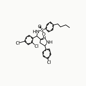 CCCCc1ccc(S(=O)(=O)NC(C2=NNC(c3ccc(Cl)cc3)C2)c2ccc(Cl)cc2Cl)cc1